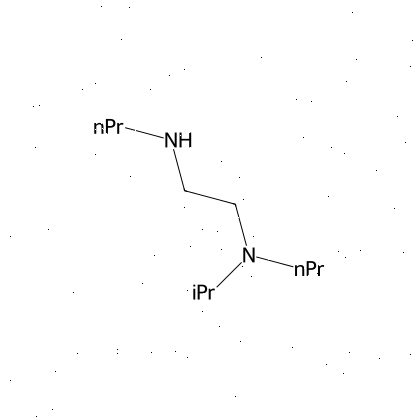 CCCNCCN(CCC)C(C)C